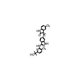 COc1ccc2c(c1)[C@]1(C[C@H]1c1ccc3c(Nc4nc(C(C)(C)O)ccc4OC)n[nH]c3c1)C(=O)N2